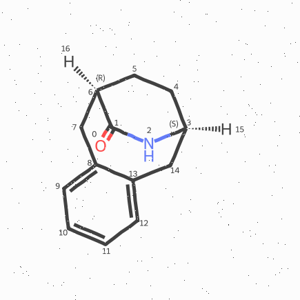 O=C1N[C@H]2CC[C@@H]1Cc1ccccc1C2